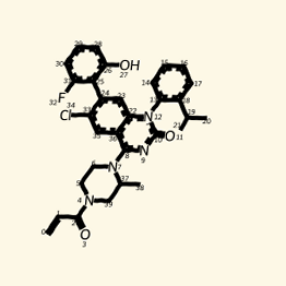 C=CC(=O)N1CCN(c2nc(=O)n(-c3ccccc3C(C)C)c3cc(-c4c(O)cccc4F)c(Cl)cc23)C(C)C1